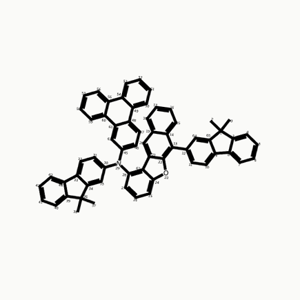 CC1(C)c2ccccc2-c2ccc(-c3c4ccccc4cc4c3oc3cccc(N(c5ccc6c(c5)C(C)(C)c5ccccc5-6)c5ccc6c7ccccc7c7ccccc7c6c5)c34)cc21